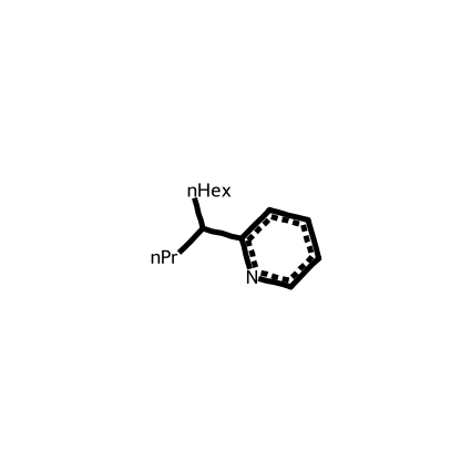 CCCCCCC(CCC)c1ccccn1